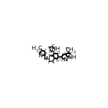 Cc1ccc(CN2CCc3cc(-c4cnc5[nH]cc(C)c5c4)cc([C@@H]4CCCN4)c3C2)nc1